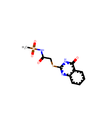 CS(=O)(=O)NC(=O)CSc1nc2ccccc2c(=O)[nH]1